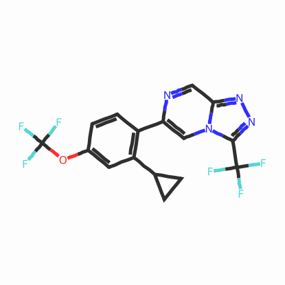 FC(F)(F)Oc1ccc(-c2cn3c(C(F)(F)F)nnc3cn2)c(C2CC2)c1